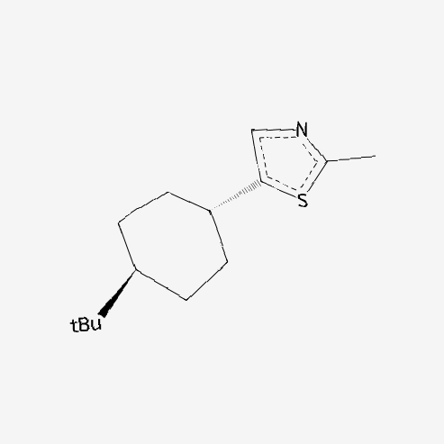 Cc1ncc([C@H]2CC[C@H](C(C)(C)C)CC2)s1